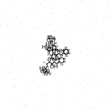 CCCS(=O)(=O)NC[C@H](C)C[C@H](O)[C@H](CC1CCCCC1)NC(=O)[C@H](Cc1c[nH]cn1)NC(=O)[C@H](Cc1ccccc1)NC(=O)CC(C)(C)NC(=O)OC(C)(C)C